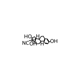 C[C@]12CC[C@@H]3c4ccc(O)cc4CC[C@H]3[C@@H]1C[C@@H](O)[C@@]2(O)CC#N